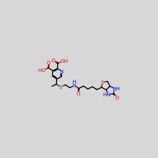 CC(SCCNC(=O)CCCCC1SCC2NC(=O)NC21)c1cnc(C(=O)O)c(C(=O)O)c1